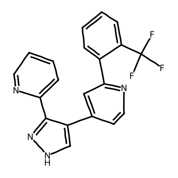 FC(F)(F)c1ccccc1-c1cc(-c2c[nH]nc2-c2ccccn2)ccn1